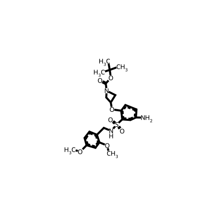 COc1ccc(CNS(=O)(=O)c2cc(N)ccc2OC2CN(C(=O)OC(C)(C)C)C2)c(OC)c1